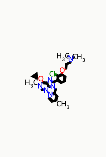 Cc1ccnc(Cn2c(-c3cccc(OCCCN(C)C)c3Cl)nc3c(OC4(C)CC4)ncnc32)c1